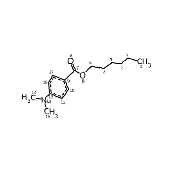 CCCCCCOC(=O)c1ccc(N(C)C)cc1